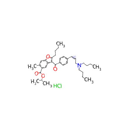 CCCCc1oc2cc(C)c(C(=O)OC(C)C)cc2c1C(=O)c1ccc(/C=C\CN(CCCC)CCCC)cc1.Cl